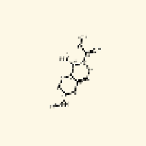 CCNC1CCC2C(=CCN(C(=O)OC(C)(C)C)N2C)C1